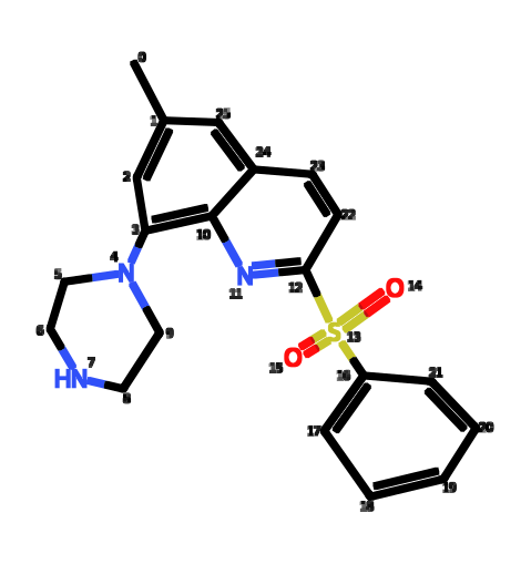 Cc1cc(N2CCNCC2)c2nc(S(=O)(=O)c3ccccc3)ccc2c1